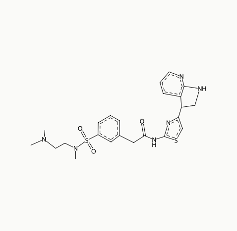 CN(C)CCN(C)S(=O)(=O)c1cccc(CC(=O)Nc2nc(C3CNc4ncccc43)cs2)c1